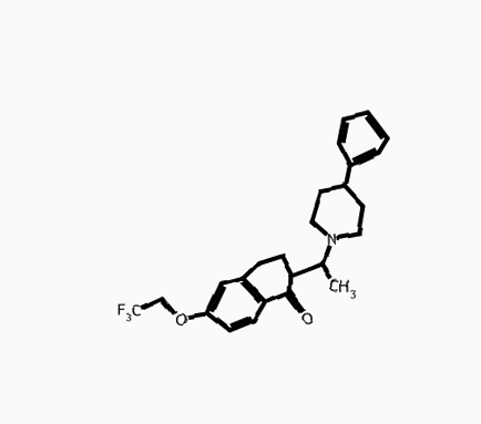 CC(C1CCc2cc(OCC(F)(F)F)ccc2C1=O)N1CCC(c2ccccc2)CC1